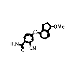 CO[C@@H]1CCc2c(Oc3ccc(C(N)=O)c(C#N)c3)cccc21